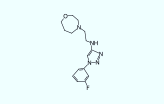 Fc1cccc(-n2cc(NCCN3CCCOCC3)nn2)c1